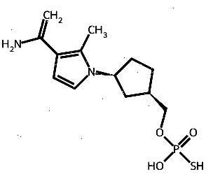 C=C(N)c1ccn([C@H]2CC[C@@H](COP(=O)(O)S)C2)c1C